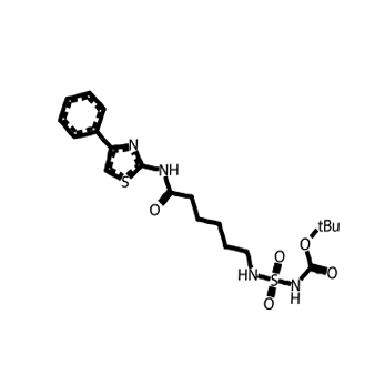 CC(C)(C)OC(=O)NS(=O)(=O)NCCCCCC(=O)Nc1nc(-c2ccccc2)cs1